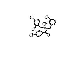 O=C(C(=Cc1cccc(Cl)c1Cl)SCc1ccc(Cl)cc1Cl)c1ccc(Cl)cc1